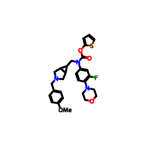 COc1ccc(CN2CC3C(C2)C3CN(C(=O)Oc2cccs2)c2ccc(N3CCOCC3)c(F)c2)cc1